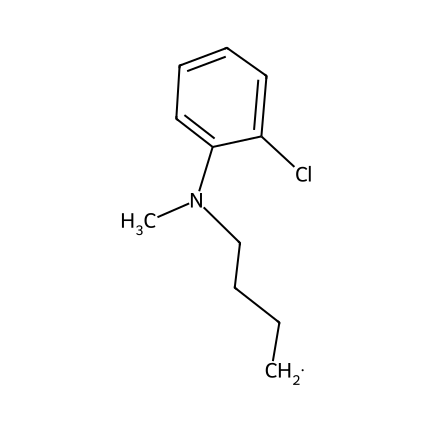 [CH2]CCCN(C)c1ccccc1Cl